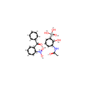 CC(=O)Nc1cccc([As](=O)(O)O)c1O.O=C(c1ccccc1)c1ccccc1[N+](=O)[O-]